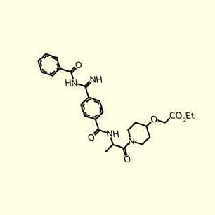 CCOC(=O)COC1CCN(C(=O)C(C)NC(=O)c2ccc(C(=N)NC(=O)c3ccccc3)cc2)CC1